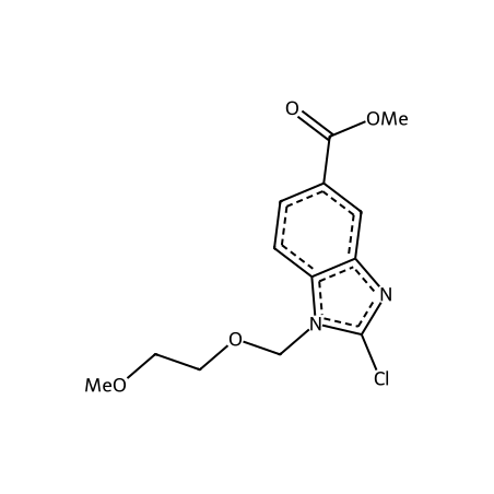 COCCOCn1c(Cl)nc2cc(C(=O)OC)ccc21